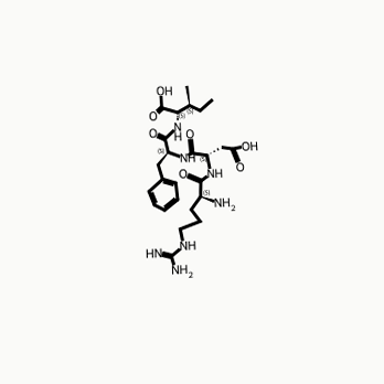 CC[C@H](C)[C@H](NC(=O)[C@H](Cc1ccccc1)NC(=O)[C@H](CC(=O)O)NC(=O)[C@@H](N)CCCNC(=N)N)C(=O)O